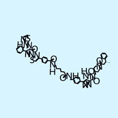 C[C@H](CC(=O)N1CCC(O)(Cn2cnc3c(-c4ccc(CNC(=O)CCCCCNC(=O)c5ccc(-c6csc(N7N=C(c8ccccc8)/C(=N\Nc8nccs8)C7=O)n6)cc5)cc4)n(C)nc3c2=O)CC1)c1ccccc1